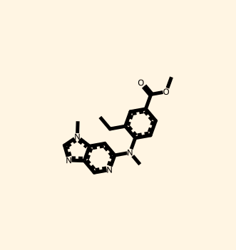 CCc1cc(C(=O)OC)ccc1N(C)c1cc2c(cn1)ncn2C